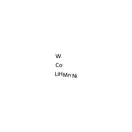 [Co].[LiH].[Mn].[Ni].[W]